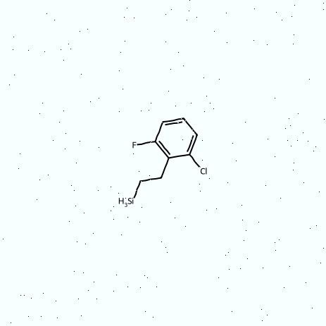 Fc1cccc(Cl)c1CC[SiH3]